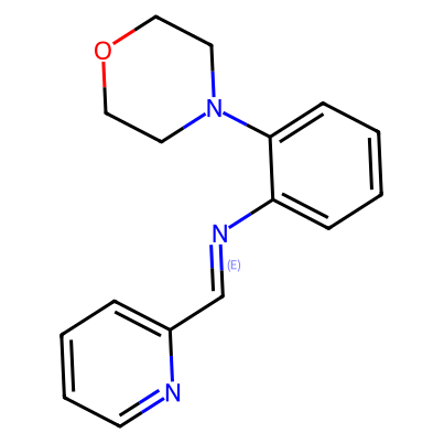 C(=N\c1ccccc1N1CCOCC1)/c1ccccn1